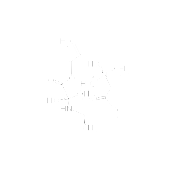 C=CCOC(=O)C(O)(O)NCC.C[N+](C)(C)CC(=O)[O-]